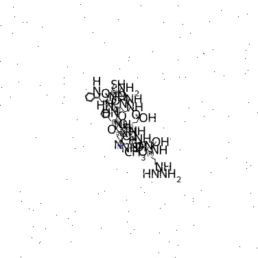 C=C(C[C@H](NC(=O)[C@H](CCC(=O)O)NC(=O)[C@H](CS)NC(=O)CN1C(=O)[C@@H](CCCNC(=N)N)NC1O)C(=O)N[C@H](Cc1ccccc1)C(=O)N[C@@H](CCCNC(=N)N)C(=O)N[C@@H](Cc1c[nH]c2ccccc12)C(=O)N[C@@H](CS)C(N)=O)/N=C\NC